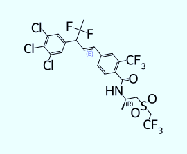 C[C@H](CS(=O)(=O)CC(F)(F)F)NC(=O)c1ccc(/C=C/C(c2cc(Cl)c(Cl)c(Cl)c2)C(C)(F)F)cc1C(F)(F)F